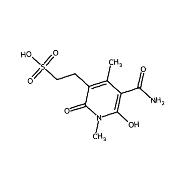 Cc1c(C(N)=O)c(O)n(C)c(=O)c1CCS(=O)(=O)O